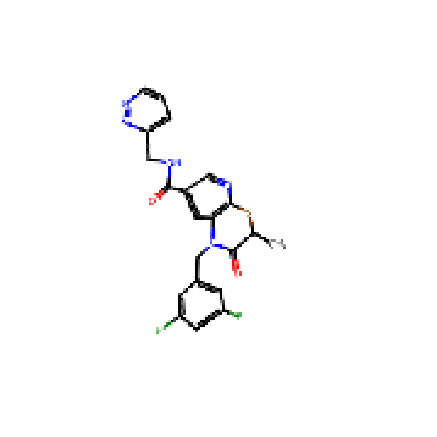 CC1Sc2ncc(C(=O)NCc3cccnn3)cc2N(Cc2cc(F)cc(F)c2)C1=O